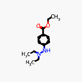 CCOC(=O)c1ccc(NN(CC)CC)cc1